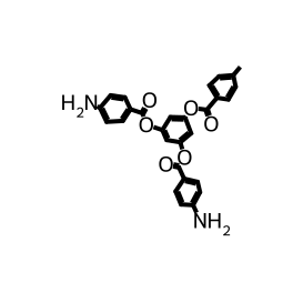 Cc1ccc(C(=O)Oc2cc(OC(=O)c3ccc(N)cc3)cc(OC(=O)c3ccc(N)cc3)c2)cc1